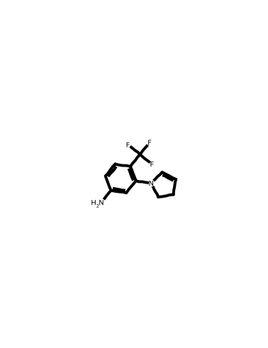 Nc1ccc(C(F)(F)F)c(N2C=CCC2)c1